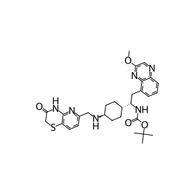 COc1cnc2cccc(CC(NC(=O)OC(C)(C)C)[C@H]3CC[C@H](NCc4ccc5c(n4)NC(=O)CS5)CC3)c2n1